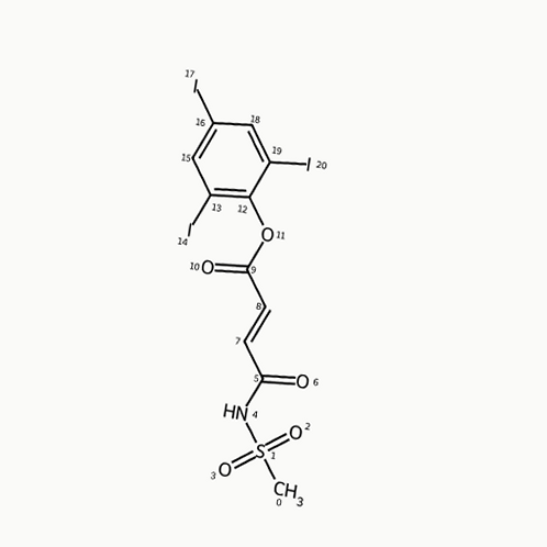 CS(=O)(=O)NC(=O)/C=C/C(=O)Oc1c(I)cc(I)cc1I